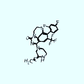 C=C=C1CN(c2nc(=O)n3c4c(c(-c5ccc(F)cc5F)c(C(F)(F)F)cc24)SCC3)CCN1